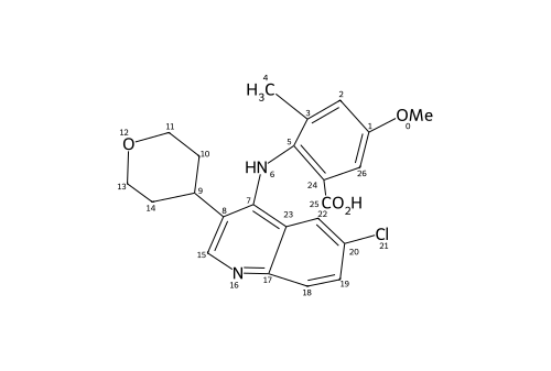 COc1cc(C)c(Nc2c(C3CCOCC3)cnc3ccc(Cl)cc23)c(C(=O)O)c1